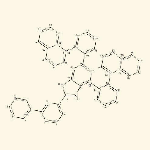 c1cncc(-c2cccc(-c3nc4c(-c5ccccc5-c5cccc6ccccc56)cc(-c5ccccc5-c5cccc6ccccc56)cc4o3)c2)c1